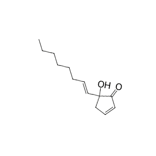 CCCCCCC=CC1(O)CC=CC1=O